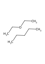 CCCCC.CCOCC